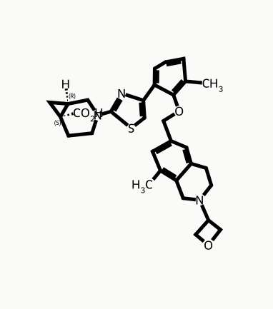 Cc1cc(COc2c(C)cccc2-c2csc(N3CC[C@@]4(C(=O)O)C[C@H]4C3)n2)cc2c1CN(C1COC1)CC2